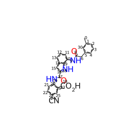 Cc1cccc(CC(=O)Nc2cccc3cc(C(=O)Nc4ccc(C#N)cc4C(=O)O)[nH]c23)c1